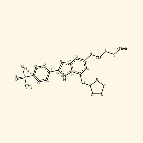 COCCOCc1cc(NC2CCCC2)c2[nH]c(-c3ccc(P(C)(C)=O)cc3)cc2c1